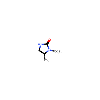 CCOC(=O)N1C(=O)NCC1C(=O)O